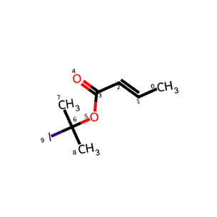 C/C=C/C(=O)OC(C)(C)I